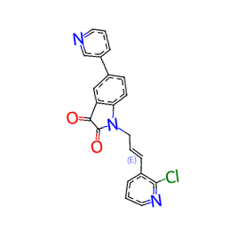 O=C1C(=O)N(C/C=C/c2cccnc2Cl)c2ccc(-c3cccnc3)cc21